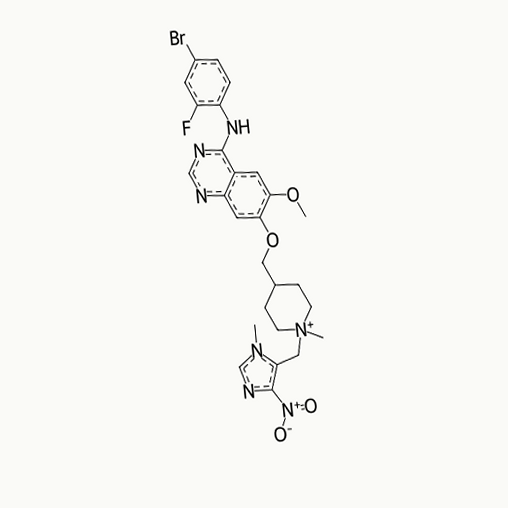 COc1cc2c(Nc3ccc(Br)cc3F)ncnc2cc1OCC1CC[N+](C)(Cc2c([N+](=O)[O-])ncn2C)CC1